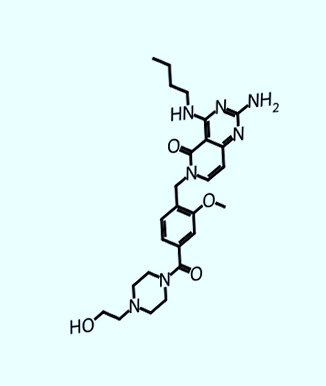 CCCCNc1nc(N)nc2ccn(Cc3ccc(C(=O)N4CCN(CCO)CC4)cc3OC)c(=O)c12